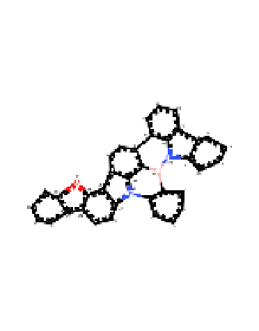 c1ccc2c(c1)B1c3c(ccc4c5c6oc7ccccc7c6ccc5n-2c34)-c2cccc3c4ccccc4n1c23